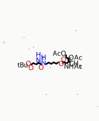 CC(=O)NC1[C@H](OCCCCCCNC(=O)[C@@H](N)CCC(=O)OC(C)(C)C)OC(COC(C)=O)[C@H](OC(C)=O)[C@@H]1C